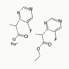 CC(C(=O)[O-])c1ncncc1F.CCOC(=O)C(C)c1ncncc1F.[Na+]